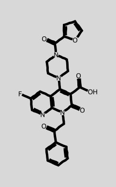 O=C(Cn1c(=O)c(C(=O)O)c(N2CCN(C(=O)c3ccco3)CC2)c2cc(F)cnc21)c1ccccc1